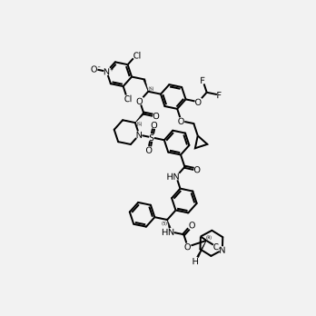 O=C(N[C@@H](c1ccccc1)c1cccc(NC(=O)c2cccc(S(=O)(=O)N3CCCC[C@H]3C(=O)O[C@@H](Cc3c(Cl)c[n+]([O-])cc3Cl)c3ccc(OC(F)F)c(OCC4CC4)c3)c2)c1)O[C@H]1CN2CCC1CC2